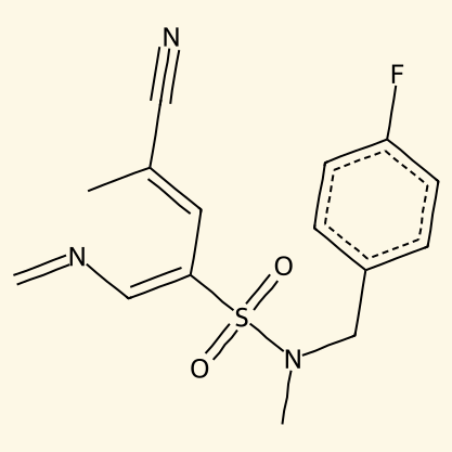 C=N/C=C(\C=C(/C)C#N)S(=O)(=O)N(C)Cc1ccc(F)cc1